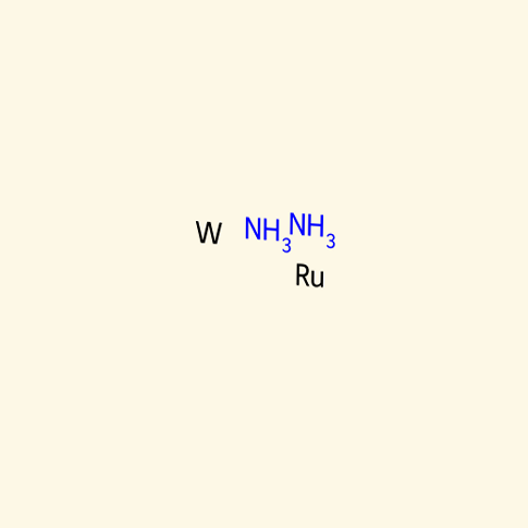 N.N.[Ru].[W]